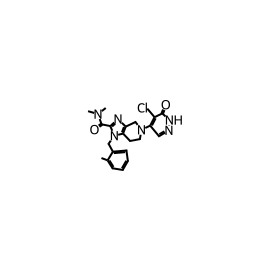 Cc1ccccc1Cn1c(C(=O)N(C)C)nc2c1CCN(c1cn[nH]c(=O)c1Cl)C2